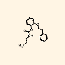 CCCNC(=O)Oc1ccccc1OCCc1ccccc1